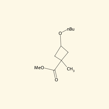 CCCCOC1CC(C)(C(=O)OC)C1